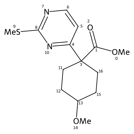 COC(=O)C1(c2ccnc(SC)n2)CCC(OC)CC1